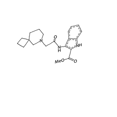 COC(=O)c1[nH]c2ccccc2c1NC(=O)CN1CCCC2(CCC2)C1